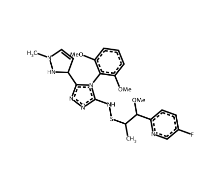 COc1cccc(OC)c1-n1c(NSC(C)C(OC)c2ccc(F)cn2)nnc1C1C=CN(C)N1